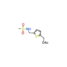 CC(=O)OCc1ccc(CNS(C)(=O)=O)s1